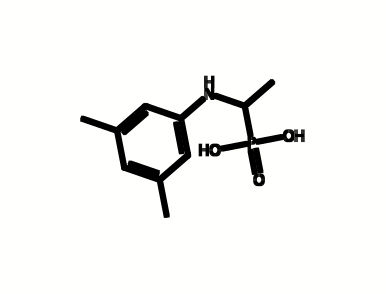 Cc1cc(C)cc(NC(C)P(=O)(O)O)c1